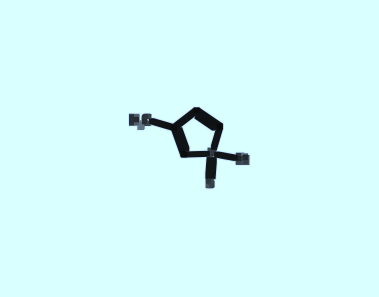 CCP1(=S)C=CC(C)=C1